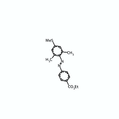 CCOC(=O)c1ccc(/N=N/c2c(C)cc(SC)cc2C)cc1